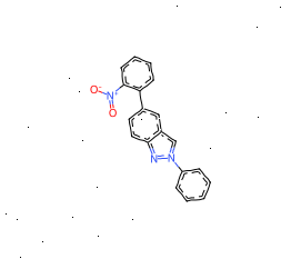 O=[N+]([O-])c1ccccc1-c1ccc2nn(-c3ccccc3)cc2c1